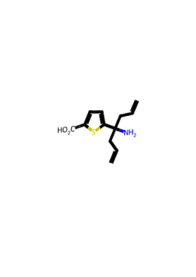 C=CCC(N)(CC=C)c1ccc(C(=O)O)s1